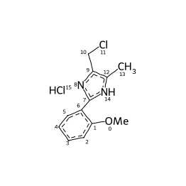 COc1ccccc1-c1nc(CCl)c(C)[nH]1.Cl